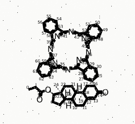 CCC(=O)O[C@H]1CC[C@H]2[C@@H]3CCC4=CC(=O)CC[C@]4(C)[C@H]3CC[C@]12C.c1ccc2c(c1)-c1nc-2nc2[nH]c(nc3nc(nc4[nH]c(n1)c1ccccc41)-c1ccccc1-3)c1ccccc21